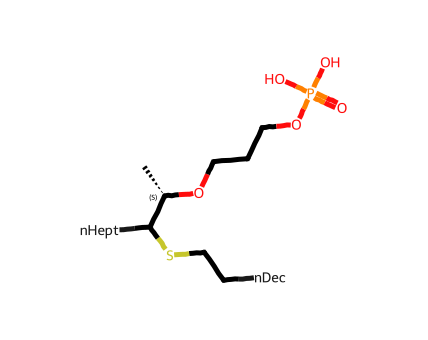 CCCCCCCCCCCCSC(CCCCCCC)[C@H](C)OCCCOP(=O)(O)O